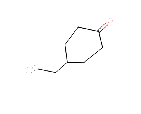 O=C1CCC(CC(F)(F)F)CC1